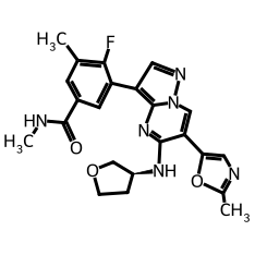 CNC(=O)c1cc(C)c(F)c(-c2cnn3cc(-c4cnc(C)o4)c(N[C@H]4CCOC4)nc23)c1